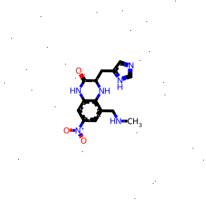 CNCc1cc([N+](=O)[O-])cc2c1NC(Cc1cnc[nH]1)C(=O)N2